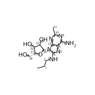 CCCNc1nc2c(N)nc(I)nc2n1[C@@H]1O[C@H](CO)C(O)C1O